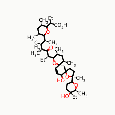 CC[C@@H](C(=O)O)C1OC([C@@H](C)[C@H](C)[C@H](C)C(=O)[C@H](CC)C2O[C@]3(C=CC(O)C4(CC[C@@](C)(C5CC[C@](O)(CC)[C@H](C)O5)O4)C3)[C@H](C)C[C@@H]2C)[C@@H](C)C[C@@H]1C